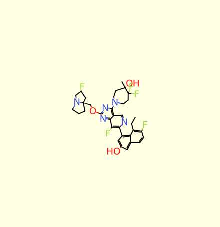 CCc1c(F)ccc2cc(O)cc(-c3ncc4c(N5CCC(C)(O)C(F)(F)CC5)nc(OC[C@@]56CCCN5C[C@H](F)C6)nc4c3F)c12